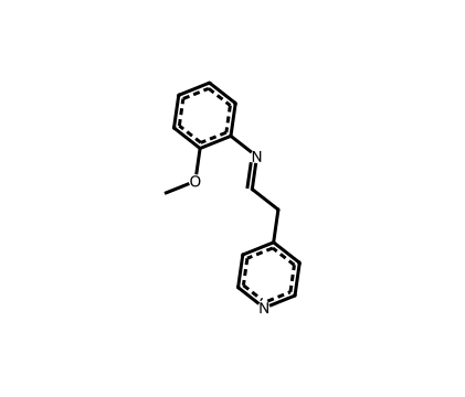 COc1ccccc1N=CCc1ccncc1